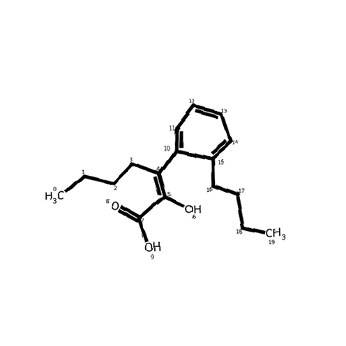 CCCCC(=C(O)C(=O)O)c1ccccc1CCCC